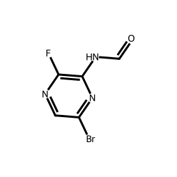 O=CNc1nc(Br)cnc1F